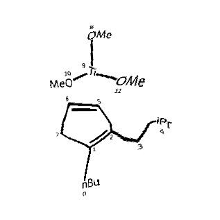 CCCCC1=C(CC(C)C)C=CC1.C[O][Ti]([O]C)[O]C